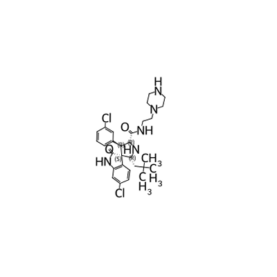 CC(C)(C)C[C@H]1N[C@@H](C(=O)NCCN2CCNCC2)[C@H](c2cccc(Cl)c2)[C@@]12C(=O)Nc1cc(Cl)ccc12